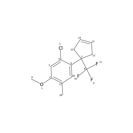 COc1cc(Cl)c(C2(C(F)(F)F)CC=CC2)cc1C